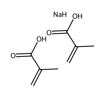 C=C(C)C(=O)O.C=C(C)C(=O)O.[NaH]